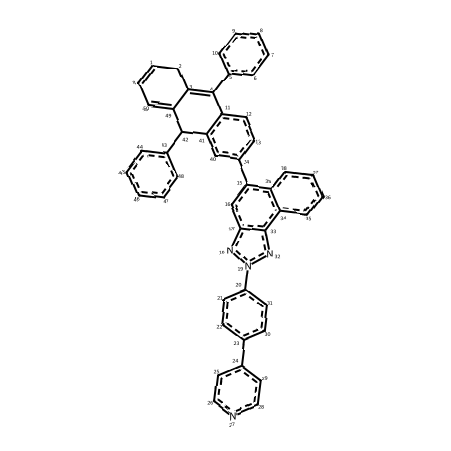 C1=CCC2=C(c3ccccc3)c3ccc(-c4cc5nn(-c6ccc(-c7ccncc7)cc6)nc5c5ccccc45)cc3C(c3ccccc3)C2=C1